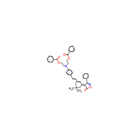 CC1(C)CC(/C=C/c2ccc(N(CCOC(=O)c3ccccc3)CCOC(=O)c3ccccc3)cc2)=CC(=C2/C(=O)ON=C2c2ccccc2)/C1